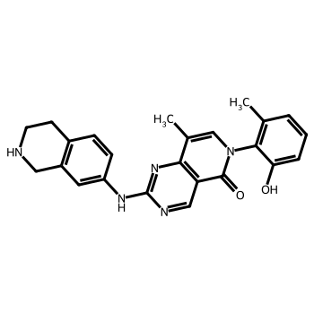 Cc1cccc(O)c1-n1cc(C)c2nc(Nc3ccc4c(c3)CNCC4)ncc2c1=O